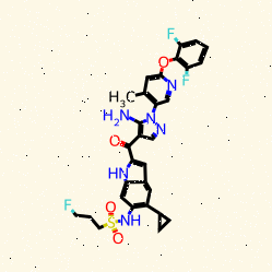 Cc1cc(Oc2c(F)cccc2F)ncc1-n1ncc(C(=O)c2cc3cc(C4CC4)c(NS(=O)(=O)CCCF)cc3[nH]2)c1N